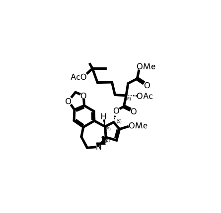 COC(=O)C[C@@](CCCC(C)(C)OC(C)=O)(OC(C)=O)C(=O)O[C@@H]1C(OC)=C[C@]23CCCN2CCc2cc4c(cc2[C@H]13)OCO4